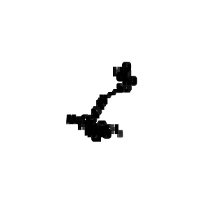 COc1cc(N2CCC(N3CCN(CCCCCCSc4cccc5c4CN(C4CCC(=O)NC4=O)C5=O)CC3)CC2)ccc1Nc1ncc(Cl)c(Nc2ccccc2P(C)(C)=O)n1